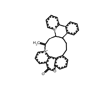 C=C1CC2C(CCc3cccc4oc(=O)c5ccc[n+]1c5c34)c1ccccc1-c1cccc[n+]12